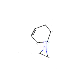 C1=CCCCC1.C1CN1